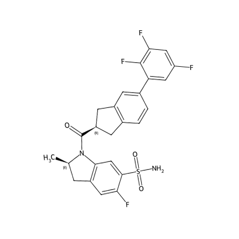 C[C@@H]1Cc2cc(F)c(S(N)(=O)=O)cc2N1C(=O)[C@@H]1Cc2ccc(-c3cc(F)cc(F)c3F)cc2C1